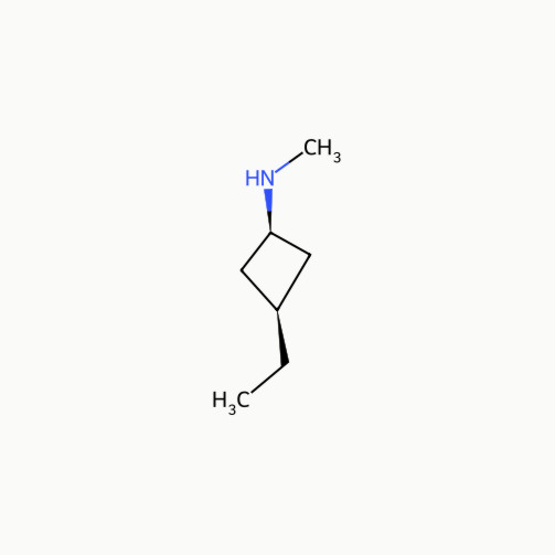 CC[C@H]1C[C@@H](NC)C1